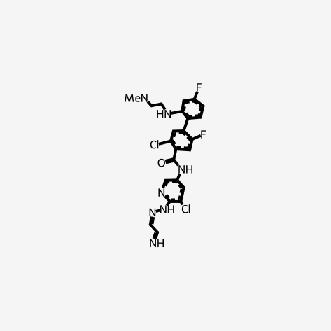 CNCCNc1cc(F)ccc1-c1cc(Cl)c(C(=O)Nc2cnc(N/N=C\C=N)c(Cl)c2)cc1F